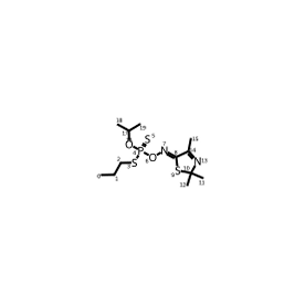 CCCSP(=S)(ON=C1SC(C)(C)N=C1C)OC(C)C